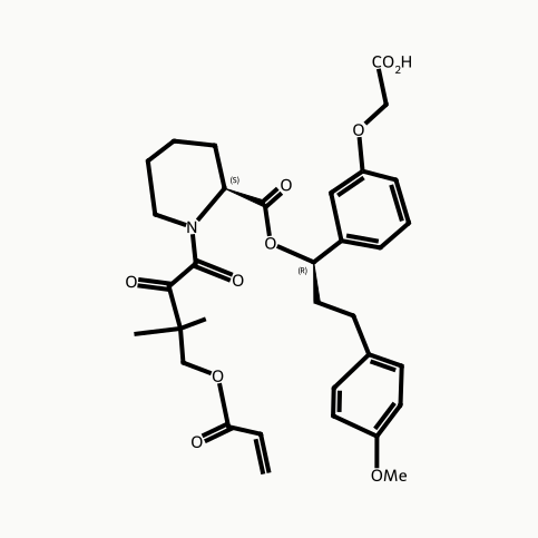 C=CC(=O)OCC(C)(C)C(=O)C(=O)N1CCCC[C@H]1C(=O)O[C@H](CCc1ccc(OC)cc1)c1cccc(OCC(=O)O)c1